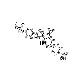 COC(=O)Nc1ccc(-c2cnc(C3NCC(C4CCN(C(=O)O)CC4)CC3C3CC3)[nH]2)cc1